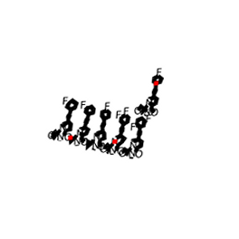 CN(C(=O)c1ccc(C#Cc2cc(F)ccc2F)cn1)C1(C)COC1.CN(C(=O)c1ccc(C#Cc2ccc(F)c(F)c2)cn1)C1(C)COC1.CN(C(=O)c1ccc(C#Cc2ccc(F)cc2)cn1)C1(C)CC1.CN(C(=O)c1ccc(C#Cc2ccc(F)cc2)cn1)C1(C)COC1.CN(C(=O)c1ccc(C#Cc2cccc(F)c2)cn1)C1(C)CC1.CN(C(=O)c1ccc(C#Cc2cccc(F)c2)cn1)C1(C)COC1